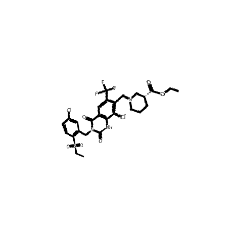 CCOC(=O)[C@@H]1CCCN(Cc2c(C(F)(F)F)cc3c(=O)n(Cc4cc(Cl)ccc4S(=O)(=O)CC)c(=O)[nH]c3c2Cl)C1